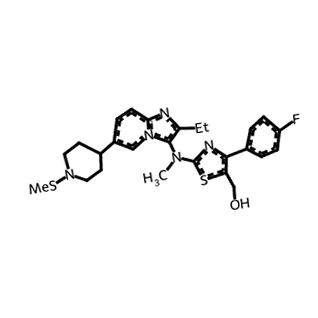 CCc1nc2ccc(C3CCN(SC)CC3)cn2c1N(C)c1nc(-c2ccc(F)cc2)c(CO)s1